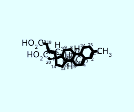 CC1=CC2=CC[C@@H]3[C@H](CC[C@@]4(C)[C@H]3CC[C@@]4(C=CCC(=O)O)CC(=O)O)[C@@]2(C)CC1